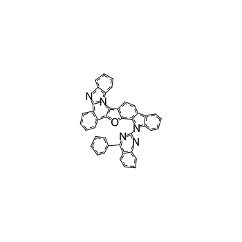 c1ccc(-c2nc(-n3c4ccccc4c4ccc5c(oc6c7ccccc7c7nc8ccccc8n7c56)c43)nc3ccccc23)cc1